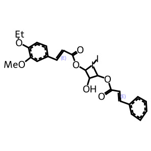 CCOc1ccc(/C=C/C(=O)OC2C(O)C(OC(=O)/C=C/c3ccccc3)I2I)cc1OC